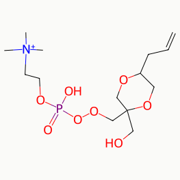 C=CCC1COC(CO)(COOP(=O)(O)OCC[N+](C)(C)C)CO1